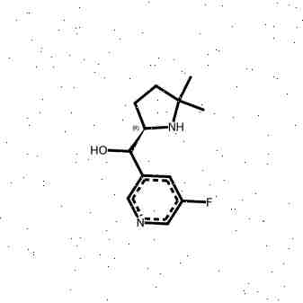 CC1(C)CC[C@H](C(O)c2cncc(F)c2)N1